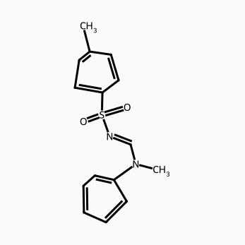 Cc1ccc(S(=O)(=O)N=CN(C)c2ccccc2)cc1